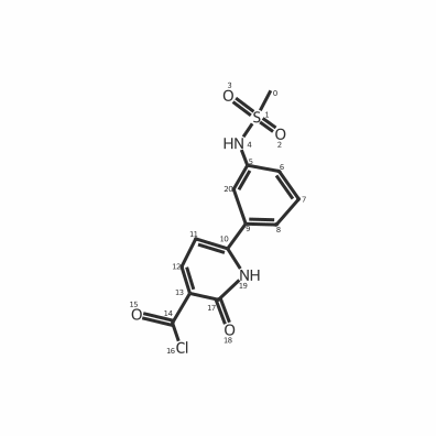 CS(=O)(=O)Nc1cccc(-c2ccc(C(=O)Cl)c(=O)[nH]2)c1